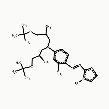 Cc1cc(N(CC(C)COC(C)(C)C)CC(C)COC(C)(C)C)ccc1/N=N/c1scc[n+]1C